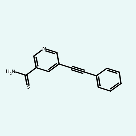 NC(=S)c1cncc(C#Cc2ccccc2)c1